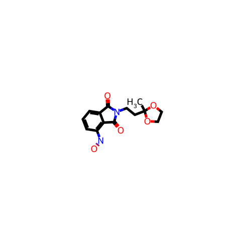 CC1(CCN2C(=O)c3cccc(N=O)c3C2=O)OCCO1